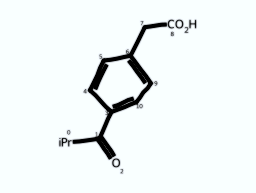 CC(C)C(=O)c1ccc(CC(=O)O)cc1